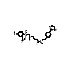 COc1ccc(S(=O)(=O)CNCCCC(=O)N(C)CCc2ccc(C3=NCCN3)cc2)c([N+](=O)[O-])c1